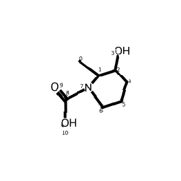 CC1C(O)CCCN1C(=O)O